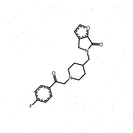 O=C(CN1CCC(CN2Cc3ccoc3C2=O)CC1)c1ccc(F)cc1